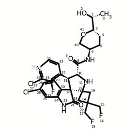 C[C@@H](O)[C@@H]1CC[C@@H](NC(=O)[C@@H]2NC3(CC(CF)(CF)C3)[C@@]3(C(=O)Nc4cc(Cl)ccc43)[C@H]2c2ccnc(Cl)c2F)CO1